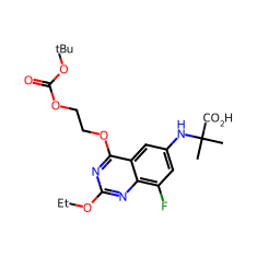 CCOc1nc(OCCOC(=O)OC(C)(C)C)c2cc(NC(C)(C)C(=O)O)cc(F)c2n1